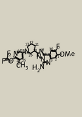 COc1cc2nc(N)n3nc(C4CCCN(c5cnc(OC(F)F)c(C)c5)C4)nc3c2cc1F